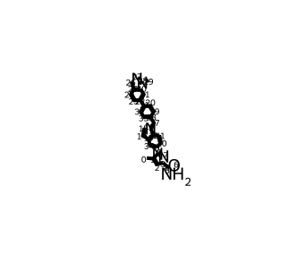 Cc1cc(C(N)=O)nn1-c1ccc2c(ccn2Cc2ccc(-c3ccc4cnn(C)c4c3)cc2)c1